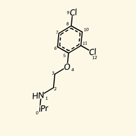 CC(C)NCCOc1ccc(Cl)cc1Cl